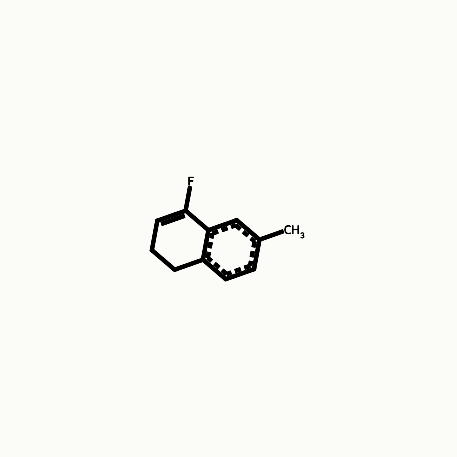 Cc1ccc2c(c1)C(F)=CCC2